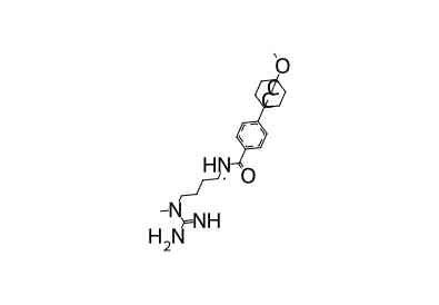 COC12CCC(c3ccc(C(=O)N[CH]CCCN(C)C(=N)N)cc3)(CC1)CC2